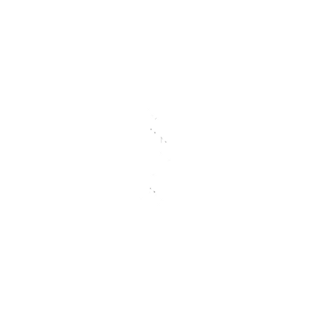 O=C1CCCN(c2ccc(-n3cccc3)cc2)N1